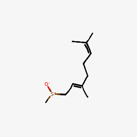 CC(C)=CCCC(C)=CC[S+](C)[O-]